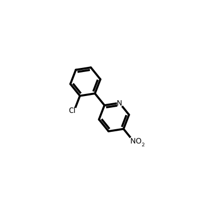 O=[N+]([O-])c1ccc(-c2ccccc2Cl)nc1